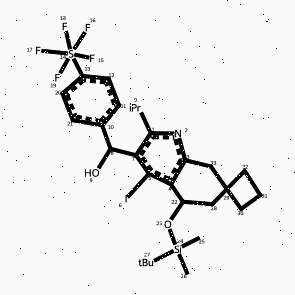 CC(C)c1nc2c(c(I)c1C(O)c1ccc(S(F)(F)(F)(F)F)cc1)C(O[Si](C)(C)C(C)(C)C)CC1(CCC1)C2